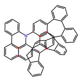 c1ccc(-c2ccccc2N(c2ccc3c(c2)C2(c4ccccc4-c4ccccc4-3)c3ccccc3-c3c2ccc2c3-c3ccccc3C2)c2ccccc2-c2ccccc2)cc1